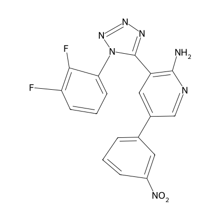 Nc1ncc(-c2cccc([N+](=O)[O-])c2)cc1-c1nnnn1-c1cccc(F)c1F